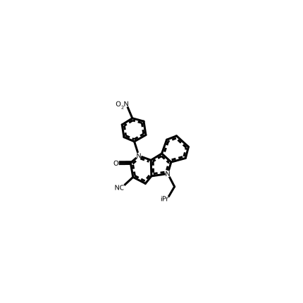 CC(C)Cn1c2ccccc2c2c1cc(C#N)c(=O)n2-c1ccc([N+](=O)[O-])cc1